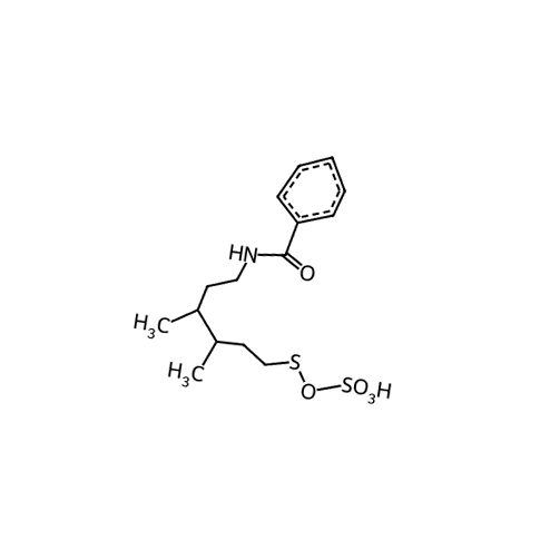 CC(CCNC(=O)c1ccccc1)C(C)CCSOS(=O)(=O)O